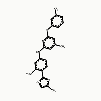 COc1cc(Nc2nc(C)cc(Oc3cccc(C(F)(F)F)c3)n2)ccc1-c1nc(C)c[nH]1